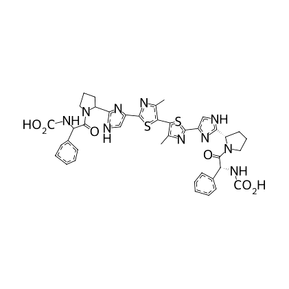 Cc1nc(-c2c[nH]c(C3CCCN3C(=O)C(NC(=O)O)c3ccccc3)n2)sc1-c1sc(-c2c[nH]c([C@@H]3CCCN3C(=O)[C@H](NC(=O)O)c3ccccc3)n2)nc1C